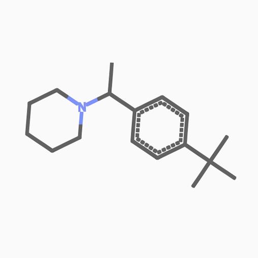 CC(c1ccc(C(C)(C)C)cc1)N1CCCCC1